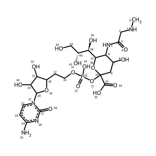 CNCC(=O)NC1C(O)CC(OP(=O)(O)OCCC2OC(n3ccc(N)nc3=O)C(O)C2O)(C(=O)O)OC1[C@H](O)[C@H](O)CO